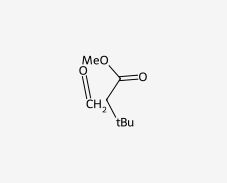 C=O.COC(=O)CC(C)(C)C